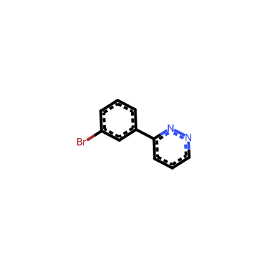 Brc1cccc(-c2cccnn2)c1